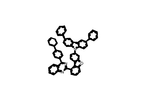 C1=CCCC(c2ccc(-c3nc(-c4cccc5oc6cc(-n7c8ccc(-c9ccccc9)cc8c8cc(-c9ccccc9)ccc87)ccc6c45)nc4ccccc34)cc2)=C1